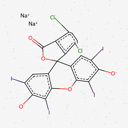 O=C1OC2(c3cc(I)c([O-])c(I)c3Oc3c2cc(I)c([O-])c3I)c2c(Cl)ccc(Cl)c21.[Na+].[Na+]